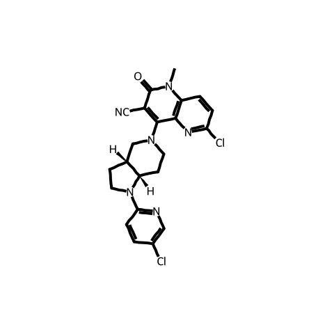 Cn1c(=O)c(C#N)c(N2CC[C@H]3[C@H](CCN3c3ccc(Cl)cn3)C2)c2nc(Cl)ccc21